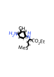 CCOC(=O)C(CCSC)Nc1ccc(N)c(C)c1